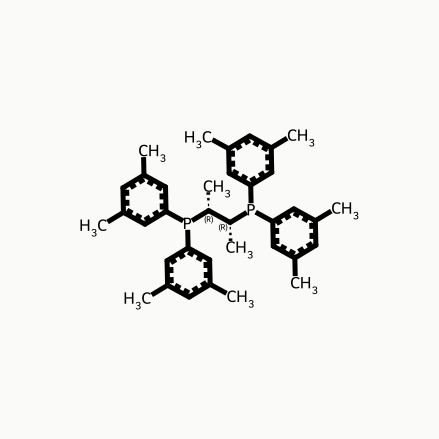 Cc1cc(C)cc(P(c2cc(C)cc(C)c2)[C@H](C)[C@@H](C)P(c2cc(C)cc(C)c2)c2cc(C)cc(C)c2)c1